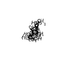 CC(=O)Nc1ccc(O[C@H]2OC(CO)[C@@H](OC3OC(CO)[C@@H](O)C(O)[C@H]3O)[C@H](O)C2O)cc1